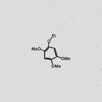 CCOc1cc(OC)c(OC)cc1OC